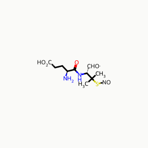 CC(C)(SN=O)[C@@H]([C]=O)NC(=O)[C@@H](N)CCC(=O)O